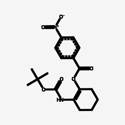 CC(C)(C)OC(=O)NC1=C(OC(=O)c2ccc([N+](=O)[O-])cc2)CCCC1